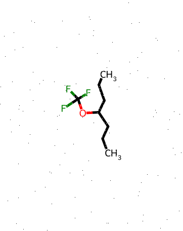 CCCC(CCC)OC(F)(F)F